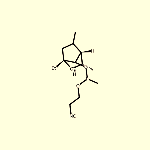 [C-]#[N+]CCOP(C)O[C@@H]1[C@@H]2C(C)C[C@@]1(CC)O[C@H]2C